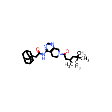 CC(CC(=O)N1CCc2c(ncnc2NC(=O)CC23CC4CC(CC(C4)C2)C3)C1)CC(C)(C)C